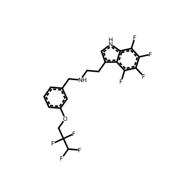 Fc1c(F)c(F)c2c(CCNCc3cccc(OCC(F)(F)C(F)F)c3)c[nH]c2c1F